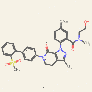 COc1ccc(-n2nc(C(F)(F)F)c3c2C(=O)N(c2ccc(-c4ccccc4S(C)(=O)=O)cc2)CC3)c(C(=O)N(C)CCO)c1